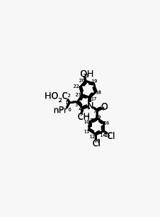 CCCC(C(=O)O)c1c(C)n(C(=O)c2ccc(Cl)c(Cl)c2)c2ccc(O)cc12